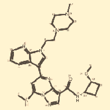 CNc1cc(-c2cn(CCN3CCN(C)CC3)c3ncccc23)nc2c(C(=O)N[C@H]3CC[C@@H]3OC)cnn12